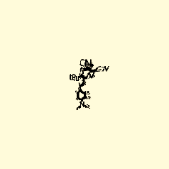 CN(C)c1ccc(C=Cc2nc(C#N)c(C#N)nc2C(C)(C)C)cc1